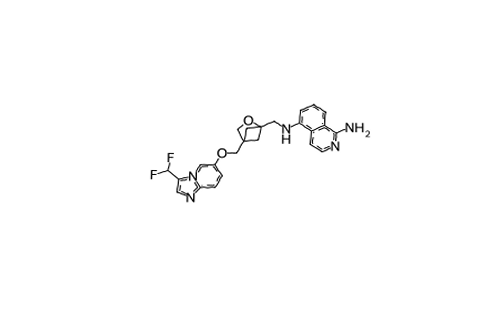 Nc1nccc2c(NCC34CC(COc5ccc6ncc(C(F)F)n6c5)(CO3)C4)cccc12